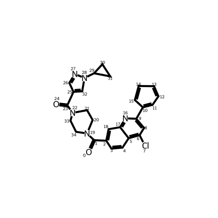 O=C(c1ccc2c(Cl)cc(-c3ccccc3)nc2c1)N1CCN(C(=O)c2cnn(C3CC3)c2)CC1